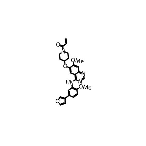 C=CC(=O)N1CCC(Oc2cc3c(Nc4cc(-c5ccoc5)ccc4OC)ncnc3cc2OC)CC1